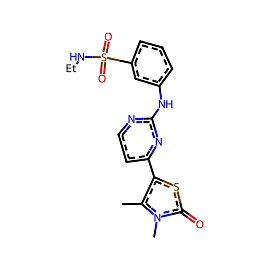 CCNS(=O)(=O)c1cccc(Nc2nccc(-c3sc(=O)n(C)c3C)n2)c1